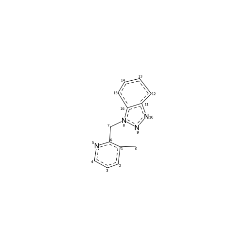 Cc1cccnc1Cn1nnc2ccccc21